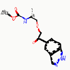 C[C@H](COCC(=O)c1ccc2[nH]ncc2c1)NC(=O)OC(C)(C)C